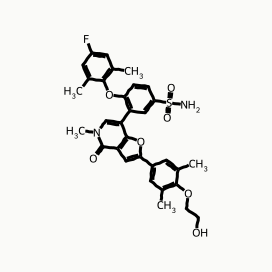 Cc1cc(-c2cc3c(=O)n(C)cc(-c4cc(S(N)(=O)=O)ccc4Oc4c(C)cc(F)cc4C)c3o2)cc(C)c1OCCO